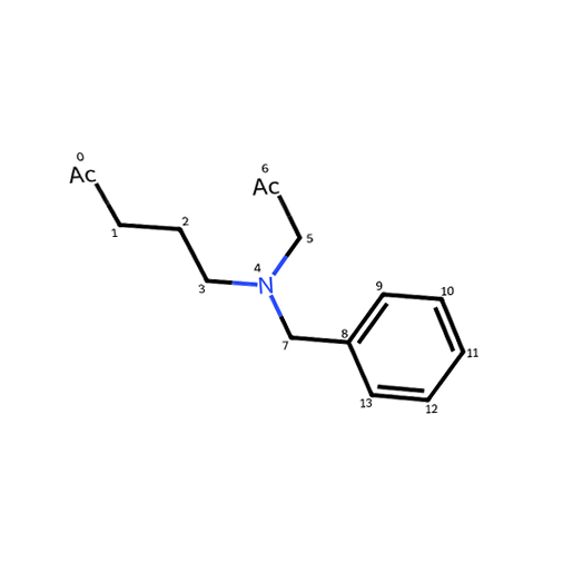 CC(=O)CCCN(CC(C)=O)Cc1ccccc1